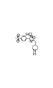 CS(=O)(=O)c1ccc(-c2noc(CC3CCNCC3)n2)cc1.Cl